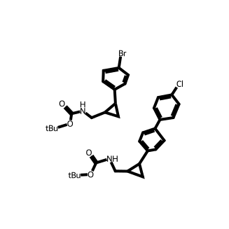 CC(C)(C)OC(=O)NCC1CC1c1ccc(-c2ccc(Cl)cc2)cc1.CC(C)(C)OC(=O)NCC1CC1c1ccc(Br)cc1